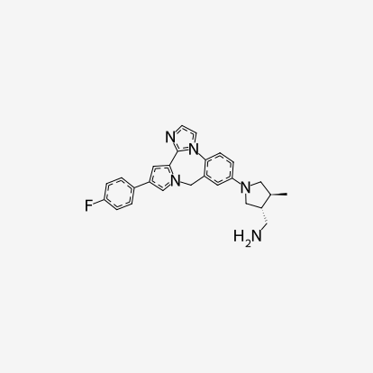 C[C@@H]1CN(c2ccc3c(c2)Cn2cc(-c4ccc(F)cc4)cc2-c2nccn2-3)C[C@H]1CN